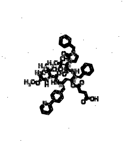 COC(=O)N[C@H](C(=O)N[C@@H](Cc1ccc(-c2ccccn2)cc1)C[C@H](OC(=O)CCC(=O)O)[C@H](Cc1ccccc1)NC(=O)[C@@H](N1CCN(Cc2ccccc2)C1=O)C(C)(C)C)C(C)(C)C